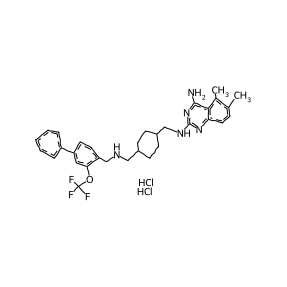 Cc1ccc2nc(NCC3CCC(CNCc4ccc(-c5ccccc5)cc4OC(F)(F)F)CC3)nc(N)c2c1C.Cl.Cl